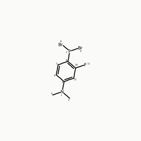 CN(C)c1ccc(P(Br)Br)c(F)c1